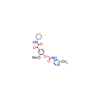 COc1cc(C(=O)C(=O)NC2CCCCC2)ccc1OCC(=O)Nc1ccnc(C)c1